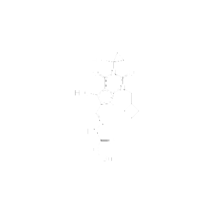 Cc1c(/C=N/NC(=O)OC(C)(C)C)sc2c1c(=O)n(C1(C)CC1)c(=O)n2CC1CCC1